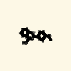 COc1ccc(CSc2cnccc2C(=O)O)cc1